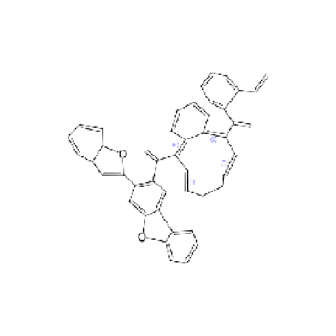 C=Cc1ccccc1C(=C)C1=c2\cccc\c2=C(C(=C)c2cc3c(cc2C2=CC4C=CC=CC4O2)oc2ccccc23)\C=C\CC\C=C\1